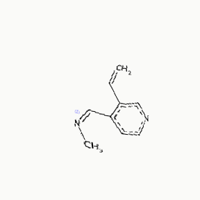 C=Cc1cnccc1/C=N\C